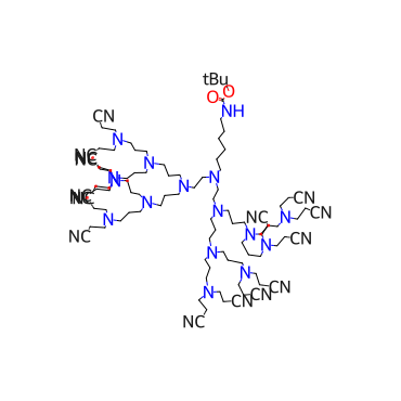 CC(C)(C)OC(=O)NCCCCCCN(CCN(CCCN(CCCN(CCC#N)CCC#N)CCCN(CCC#N)CCC#N)CCCN(CCCN(CCC#N)CCC#N)CCCN(CCC#N)CCC#N)CCN(CCCN(CCCN(CCC#N)CCC#N)CCCN(CCC#N)CCC#N)CCCN(CCCN(CCC#N)CCC#N)CCCN(CCC#N)CCC#N